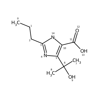 CCCC1=NC(C(C)(C)O)=C(C(=O)O)[N]1